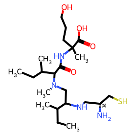 CCC(C)C(CN(C)C(C(=O)NC(C)(CCCO)C(=O)O)C(C)CC)NC[C@H](N)CS